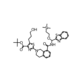 CC(C)(C)OC(=O)c1nc(N2CCc3cccc(C(=O)NC(OCC[Si](C)(C)C)c4nc5ccccc5s4)c3C2)sc1CCCO